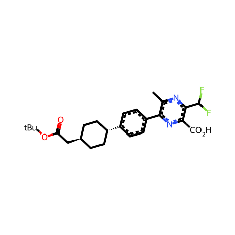 Cc1nc(C(F)F)c(C(=O)O)nc1-c1ccc([C@H]2CC[C@H](CC(=O)OC(C)(C)C)CC2)cc1